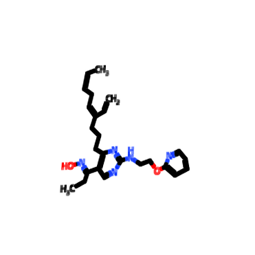 C=C/C(=C\C/C=C\C)CCCc1nc(NCCOc2ccccn2)ncc1/C(CC)=N/O